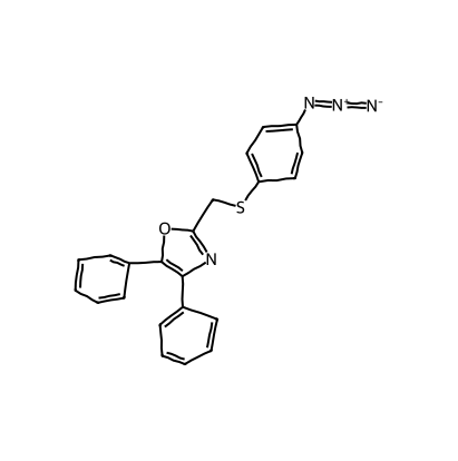 [N-]=[N+]=Nc1ccc(SCc2nc(-c3ccccc3)c(-c3ccccc3)o2)cc1